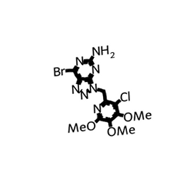 COc1nc(Cn2nnc3c(Br)nc(N)nc32)c(Cl)c(OC)c1OC